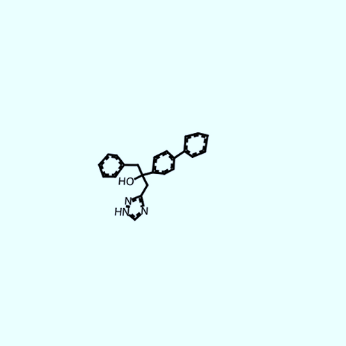 OC(Cc1ccccc1)(Cc1nc[nH]n1)c1ccc(-c2ccccc2)cc1